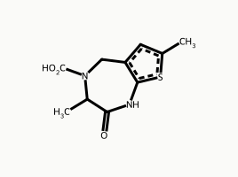 Cc1cc2c(s1)NC(=O)C(C)N(C(=O)O)C2